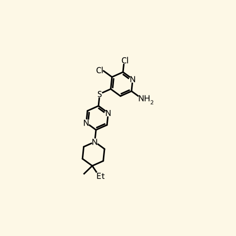 CCC1(C)CCN(c2cnc(Sc3cc(N)nc(Cl)c3Cl)cn2)CC1